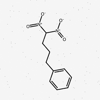 O=[N+]([O-])C(CCCc1ccccc1)[N+](=O)[O-]